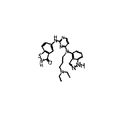 CCN(CC)CCCN(c1ccnc(Nc2ccc3s[nH]c(=O)c3c2)n1)c1cccc2[nH]ncc12